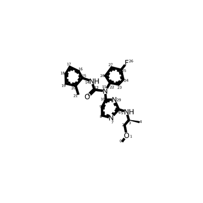 COC[C@H](C)Nc1nccc(N(C(=O)Nc2ccccc2C)c2ccc(F)cc2)n1